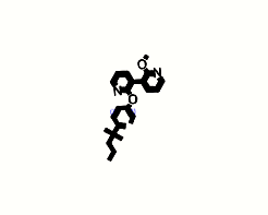 C=C(/C=C\C(=C/C)Oc1ncccc1-c1cccnc1OC)C(C)(C)CCC